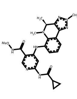 CONC(=O)c1cnc(NC(=O)C2CC2)cc1Nc1cccc2c1N(C)[C@@H](C)c1nn(C)nc1-2